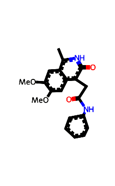 COc1cc2c(C)[nH]c(=O)c(CC(=O)Nc3ccccc3)c2cc1OC